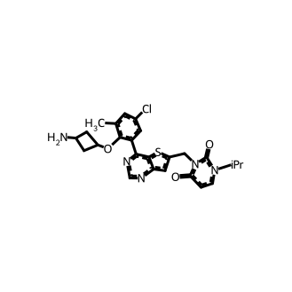 Cc1cc(Cl)cc(-c2ncnc3cc(Cn4c(=O)ccn(C(C)C)c4=O)sc23)c1OC1CC(N)C1